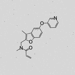 C=CC(=O)N(C)Cc1oc2ccc(Oc3cccnc3)cc2c1C